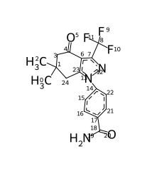 CC1(C)CC(=O)c2c(C(F)(F)F)nn(-c3ccc(C(N)=O)cc3)c2C1